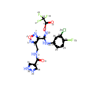 O=C(NCc1nonc1C(=NOC(=O)C(F)(F)F)Nc1ccc(F)c(Cl)c1)c1cn[nH]c1